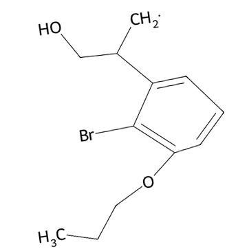 [CH2]C(CO)c1cccc(OCCC)c1Br